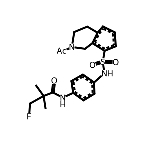 CC(=O)N1CCc2cccc(S(=O)(=O)Nc3ccc(NC(=O)C(C)(C)CF)cc3)c2C1